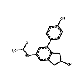 C[S+]([O-])Nc1cc2c(c(-c3ccc(C#N)cc3)c1)CN(C#N)C2